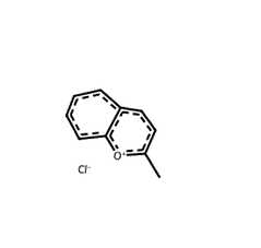 Cc1ccc2ccccc2[o+]1.[Cl-]